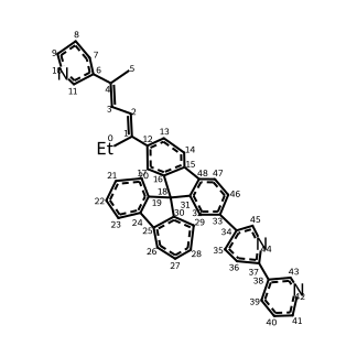 CC/C(=C\C=C(/C)c1cccnc1)c1ccc2c(c1)C1(c3ccccc3-c3ccccc31)c1cc(-c3ccc(-c4cccnc4)nc3)ccc1-2